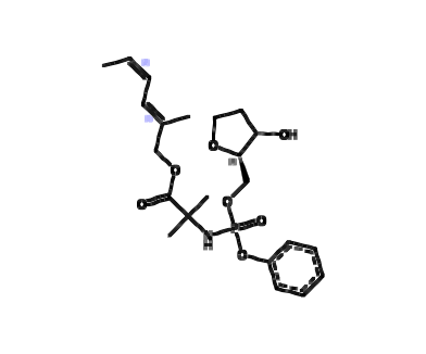 C/C=C\C=C(/C)COC(=O)C(C)(C)NP(=O)(OC[C@H]1OCCC1O)Oc1ccccc1